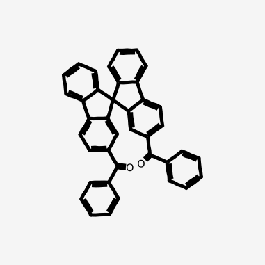 O=C(c1ccccc1)c1ccc2c(c1)C1(c3ccccc3-2)c2ccccc2-c2ccc(C(=O)c3ccccc3)cc21